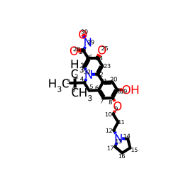 CC(C)(C)C1Cc2cc(OCCCN3CCCC3)c(O)cc2-c2cc(=O)c(C(=O)N=O)cn21